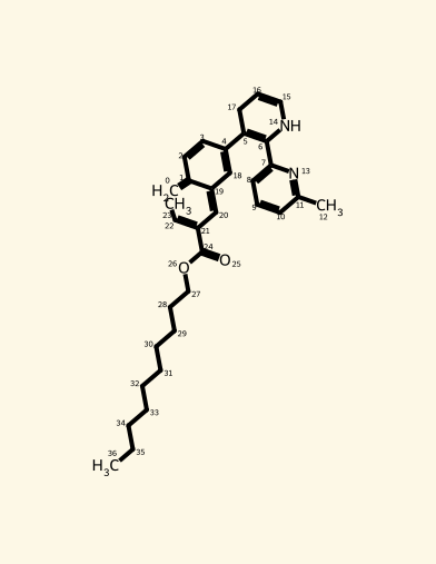 C=c1ccc(C2=C(c3cccc(C)n3)NC=CC2)c/c1=C/C(=C\C)C(=O)OCCCCCCCCCC